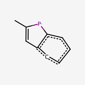 CC1=Cc2ccccc2[P]1